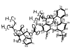 CCC(C)OC(=O)C(COC(=O)Oc1c(F)cc(NC(=O)c2ccccc2-c2ccc(C(F)(F)F)c(F)c2)c(C(=O)N(C)C)c1F)(C(=O)O)c1cccs1